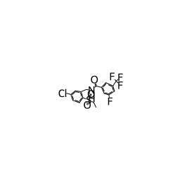 CCS(=O)(=O)c1ccc(Cl)cc1CNC(=O)c1cc(F)cc(C(F)(F)F)c1